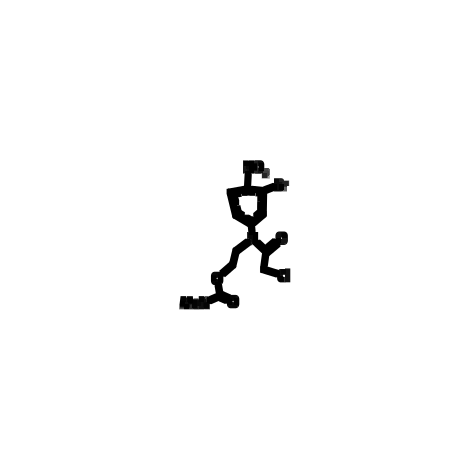 CNC(=O)OCCN(C(=O)CCl)c1ccc([N+](=O)[O-])c(Br)c1